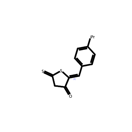 CC(C)c1ccc(/C=C2\SC(=S)CC2=O)cc1